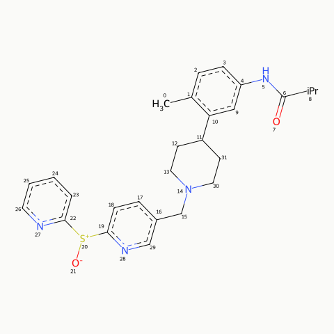 Cc1ccc(NC(=O)C(C)C)cc1C1CCN(Cc2ccc([S+]([O-])c3ccccn3)nc2)CC1